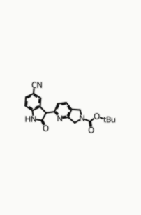 CC(C)(C)OC(=O)N1Cc2ccc(C3C(=O)Nc4ccc(C#N)cc43)nc2C1